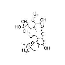 COC1C(O)OC2Oc3cc(O)c4c(c3C(=O)C2C1CCC(C)(C)O)OC(C)(C)CC4